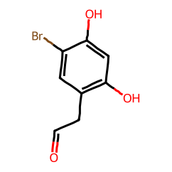 O=CCc1cc(Br)c(O)cc1O